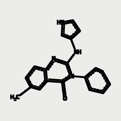 Cc1ccc2nc(Nc3cc[nH]c3)n(-c3ccccc3)c(=O)c2c1